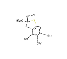 CCCCCC1(CCCCC)Cc2c(cc(C(C)(C)C)c(OC(C)=O)c2C(C)(C)C)S1